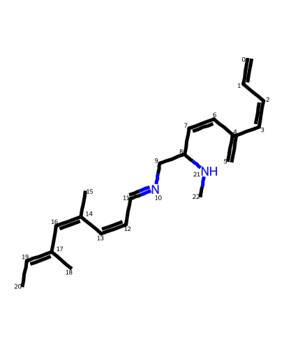 C=C/C=C\C(=C)/C=C\C(C/N=C/C=C\C(C)=C/C(C)=C/C)NC